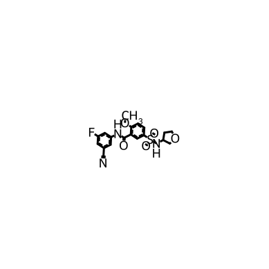 COc1ccc(S(=O)(=O)NC2CCOC2)cc1C(=O)Nc1cc(F)cc(C#N)c1